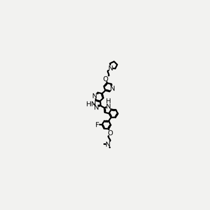 CN(C)CCOc1cc(F)cc(-c2cccc3[nH]c(-c4n[nH]c5ncc(-c6cncc(OCCN7CCCC7)c6)cc45)cc23)c1